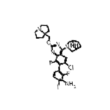 Nc1c(F)ccc(-c2c(Cl)cc3c(N4CC5CCC(C4)N5)nc(OCC45CCCN4CCC5)nc3c2F)c1F